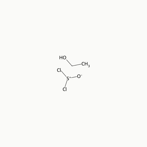 CCO.[O-][S+](Cl)Cl